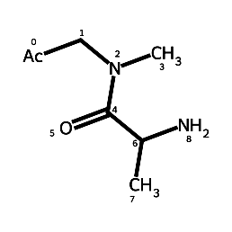 CC(=O)CN(C)C(=O)C(C)N